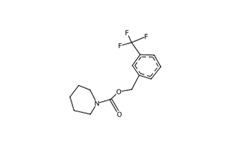 O=C(OCc1cccc(C(F)(F)F)c1)N1CCCCC1